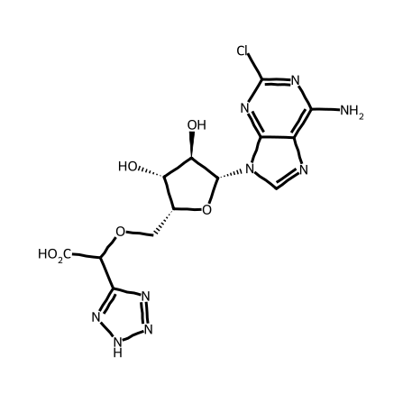 Nc1nc(Cl)nc2c1ncn2[C@@H]1O[C@H](COC(C(=O)O)c2nn[nH]n2)[C@H](O)[C@H]1O